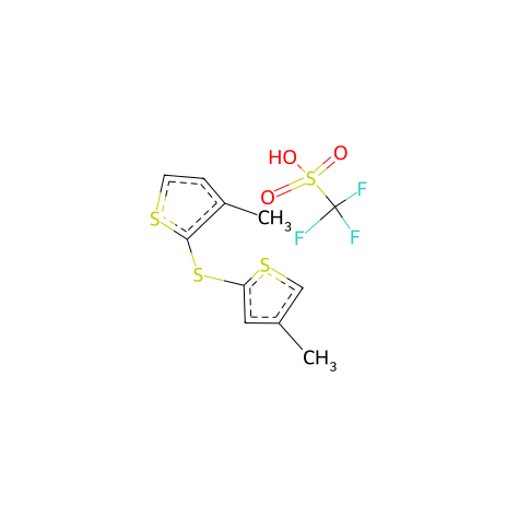 Cc1csc(Sc2sccc2C)c1.O=S(=O)(O)C(F)(F)F